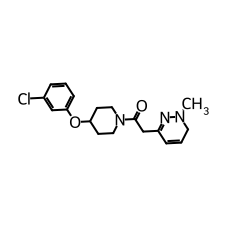 CN1CC=CC(CC(=O)N2CCC(Oc3cccc(Cl)c3)CC2)=N1